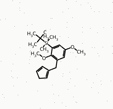 COc1cc(CC2=CCC=C2)c(OC)c([Si](C)(C)C(C)(C)C)c1